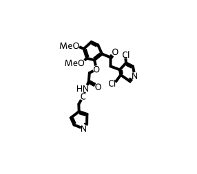 COc1ccc(C(=O)Cc2c(Cl)cncc2Cl)c(OCC(=O)NCCc2ccncc2)c1OC